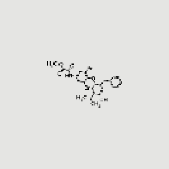 COC(=O)C(=O)Nc1cc(Br)c(Oc2cc(C(C)C)c(O)cc2Cc2ccccc2)c(Br)c1